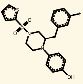 O=S(=O)(c1cccs1)N1CCN(c2ccc(O)cc2)[C@H](Cc2cccc(F)c2)C1